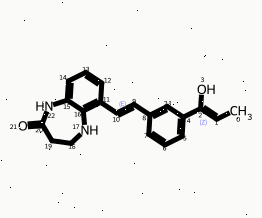 C/C=C(\O)c1cccc(/C=C/c2cccc3c2NCCC(=O)N3)c1